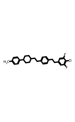 Cc1ccc(C2CCC(CCc3ccc(CCc4cc(F)c(Cl)c(F)c4)cc3)CC2)cc1